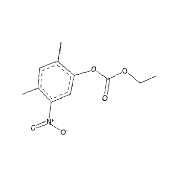 CCOC(=O)Oc1cc([N+](=O)[O-])c(C)cc1C